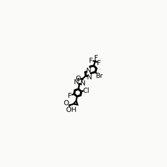 O=C(O)C1CC1c1cc(Cl)c(-c2noc(-c3cn4cc(C(F)(F)F)cc(Br)c4n3)n2)cc1F